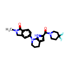 CN1Cc2cc(N3CCCc4cc(C(=O)N5CCC(F)(F)CC5)[nH]c43)ccc2C1=O